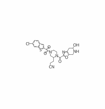 N#CCCC1CN(S(=O)(=O)c2cc3ccc(Cl)cc3s2)CCN1C(=O)c1nc2c(o1)CNC(O)C2